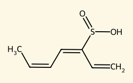 C=C/C(=C\C=C/C)S(=O)O